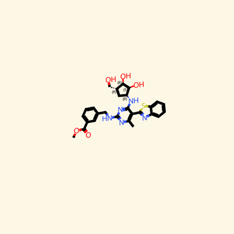 COC(=O)c1cccc(CNc2nc(C)c(-c3nc4ccccc4s3)c(N[C@@H]3C[C@H](CO)[C@@H](O)[C@H]3O)n2)c1